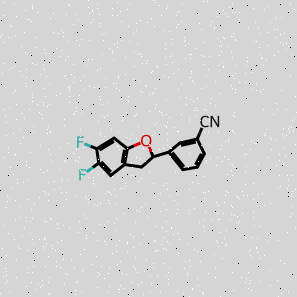 N#Cc1cccc(C2Cc3cc(F)c(F)cc3O2)c1